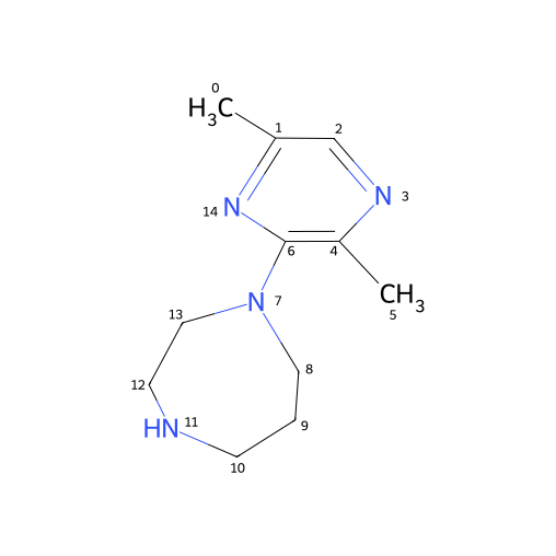 Cc1cnc(C)c(N2CCCNCC2)n1